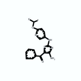 Nc1nc(Nc2ccc(OC(F)F)nc2)sc1C(=O)c1ccccc1